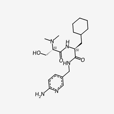 CN(C)[C@@H](CO)C(=O)N[C@@H](CC1CCCCC1)C(=O)NCc1ccc(N)nc1